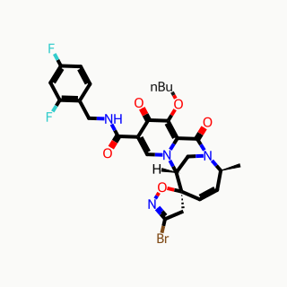 CCCCOc1c2n(cc(C(=O)NCc3ccc(F)cc3F)c1=O)[C@@H]1CN(C2=O)[C@@H](C)C=C[C@]12CC(Br)=NO2